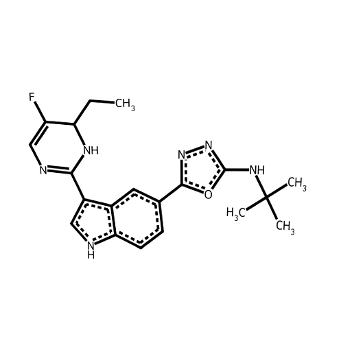 CCC1NC(c2c[nH]c3ccc(-c4nnc(NC(C)(C)C)o4)cc23)=NC=C1F